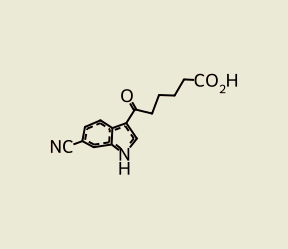 N#Cc1ccc2c(C(=O)CCCCC(=O)O)c[nH]c2c1